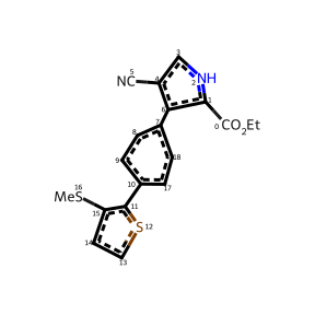 CCOC(=O)c1[nH]cc(C#N)c1-c1ccc(-c2sccc2SC)cc1